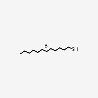 CCCCCCCCCCCCS.[Bi]